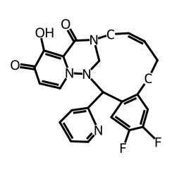 O=C1c2c(O)c(=O)ccn2N2CN1CC=CCCc1cc(F)c(F)cc1C2c1ccccn1